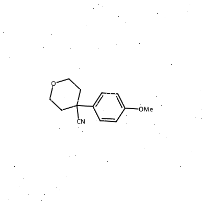 COc1ccc(C2(C#N)CCOCC2)cc1